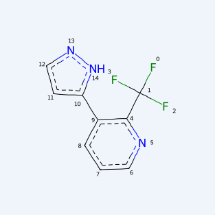 FC(F)(F)c1ncccc1-c1ccn[nH]1